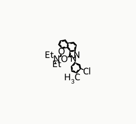 CCN(CC)C(=O)Oc1c2c(ccc3ccccc32)nn1-c1ccc(C)c(Cl)c1